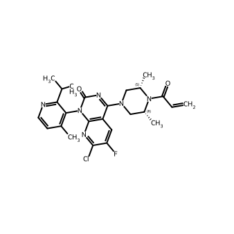 C=CC(=O)N1[C@H](C)CN(c2nc(=O)n(-c3c(C)ccnc3C(C)C)c3nc(Cl)c(F)cc23)C[C@@H]1C